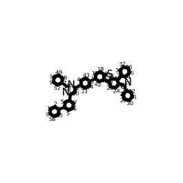 c1ccc(-c2cccc(-c3cc(-c4ccc(-c5ccc6sc7c(ccc8c(-c9ccccc9)nc9ccccc9c87)c6c5)cc4)nc(-c4ccccc4)n3)c2)cc1